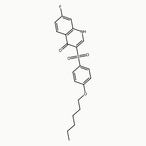 CCCCCCOc1ccc(S(=O)(=O)c2c[nH]c3cc(F)ccc3c2=O)cc1